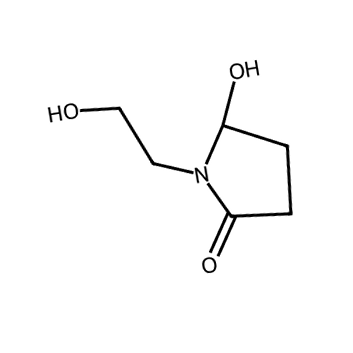 O=C1CCC(O)N1CCO